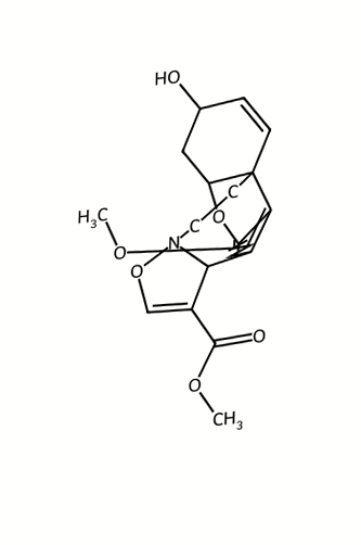 COC(=O)C1=CON2CCC34C=CC(O)CC3Oc3c(OC)ccc(c34)C12